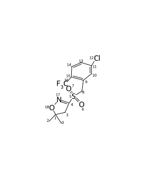 CC1(C)CC(S(=O)(=O)Cc2cc(Cl)ccc2C(F)(F)F)=NO1